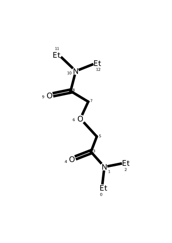 CCN(CC)C(=O)COCC(=O)N(CC)CC